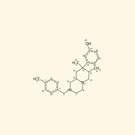 Cc1ccc(CN2CCN3CC(C)C(C)(c4cccc(O)c4)CC3C2)cc1